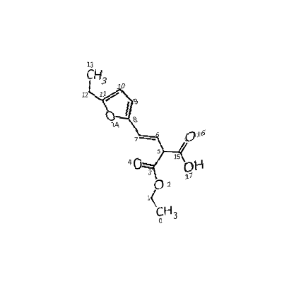 CCOC(=O)C(/C=C/c1ccc(CC)o1)C(=O)O